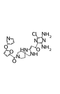 Nc1nc(N)c(C(=O)/C=C2\NCC3(CCN(C(=O)c4ccc(Oc5cccnc5)o4)CC3)N2)nc1Cl